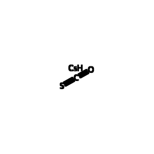 O=C=S.[CsH]